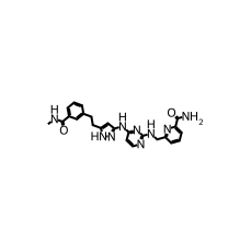 CNC(=O)c1cccc(CCc2cc(Nc3ccnc(NCc4cccc(C(N)=O)n4)n3)n[nH]2)c1